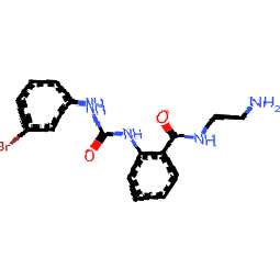 NCCNC(=O)c1ccccc1NC(=O)Nc1cccc(Br)c1